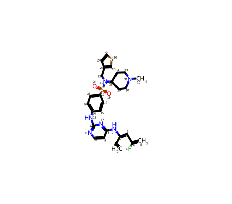 C=C/C(=C\C(=C)F)Nc1ccnc(Nc2ccc(S(=O)(=O)N(Cc3ccsc3)C3CCN(C)CC3)cc2)n1